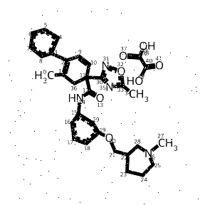 CC1=C(c2ccccc2)C=CC(C(=O)Nc2cccc(OCC3CCCN(C)C3)c2)(c2noc(C)n2)C1.O=C(O)C(=O)O